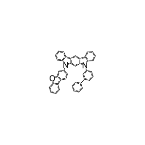 c1ccc(-c2cccc(-n3c4ccccc4c4cc5c6ccccc6n(-c6ccc7c(c6)oc6ccccc67)c5cc43)c2)cc1